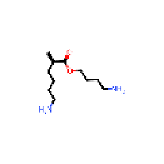 C=C(CCCCN)C(=O)OCCCCN